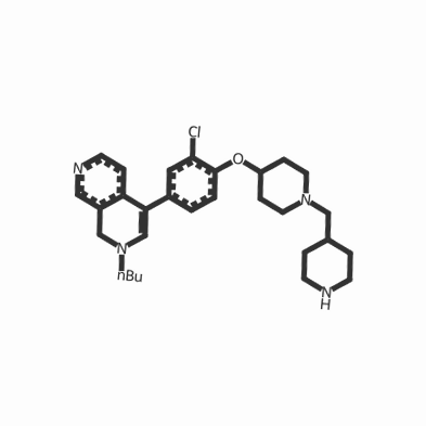 CCCCN1C=C(c2ccc(OC3CCN(CC4CCNCC4)CC3)c(Cl)c2)c2ccncc2C1